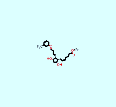 CC(C)OC(=O)CCC/C=C\C[C@@H]1[C@@H](/C=C/CCOc2cccc(C(F)(F)F)c2)[C@H](O)C[C@@H]1O